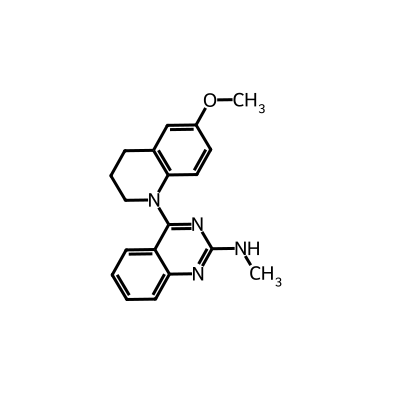 CNc1nc(N2CCCc3cc(OC)ccc32)c2ccccc2n1